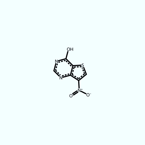 O=[N+]([O-])c1csc2c(O)ncnc12